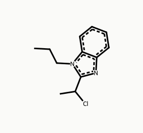 CCCn1c(C(C)Cl)nc2ccccc21